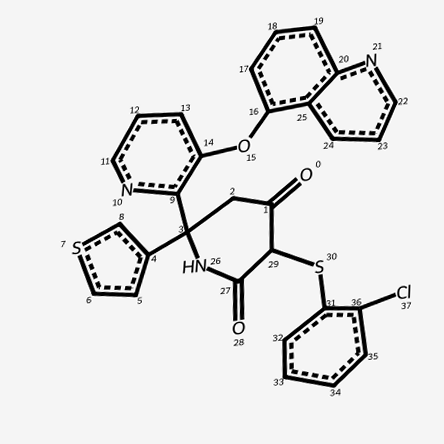 O=C1CC(c2ccsc2)(c2ncccc2Oc2cccc3ncccc23)NC(=O)C1Sc1ccccc1Cl